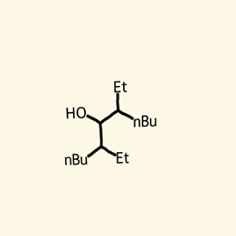 CCCCC(CC)C(O)C(CC)CCCC